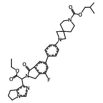 CCOC(=O)C(c1ncn2c1CCC2)N1Cc2c(F)cc(-c3ccc(N4CC5(CCN(C(=O)OCC(C)C)CC5)C4)cc3)cc2C1=O